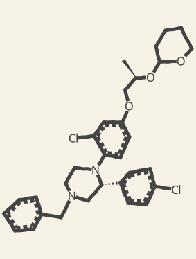 C[C@H](COc1ccc(N2CCN(Cc3ccccc3)C[C@H]2c2ccc(Cl)cc2)c(Cl)c1)OC1CCCCO1